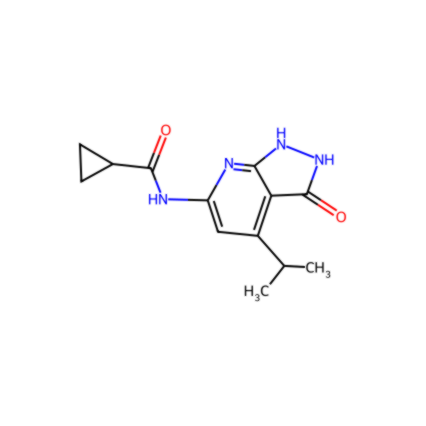 CC(C)c1cc(NC(=O)C2CC2)nc2[nH][nH]c(=O)c12